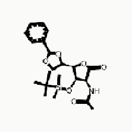 CC(=O)N[C@@H]1C(=O)O[C@H](C2COC(c3ccccc3)O2)[C@@H]1O[Si](C)(C)C(C)(C)C